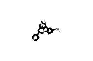 Cc1ccc2c(c1)c1c3n2CC(c2ccncc2)CC3(C)CN(C)C1